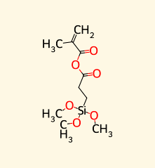 C=C(C)C(=O)OC(=O)CC[Si](OC)(OC)OC